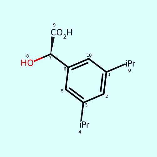 CC(C)c1cc(C(C)C)cc([C@@H](O)C(=O)O)c1